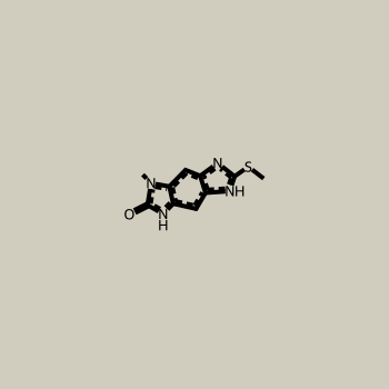 CSc1nc2cc3c(cc2[nH]1)[nH]c(=O)n3C